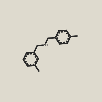 Cc1cccc(CNCc2ccc(F)cc2)c1